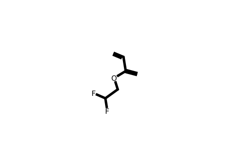 C=CC(=C)OCC(F)F